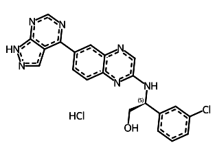 Cl.OC[C@@H](Nc1cnc2cc(-c3ncnc4[nH]ncc34)ccc2n1)c1cccc(Cl)c1